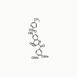 COc1ccc(C(=O)c2nc3ccc(NS(=O)(=O)c4ccc(C)cc4)cc3c(=O)[nH]2)cc1OC